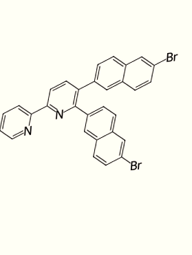 Brc1ccc2cc(-c3ccc(-c4ccccn4)nc3-c3ccc4cc(Br)ccc4c3)ccc2c1